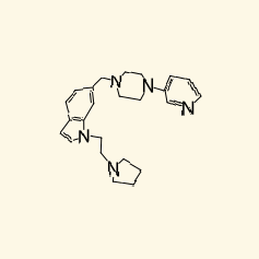 c1cncc(N2CCN(Cc3ccc4ccn(CCN5CCCC5)c4c3)CC2)c1